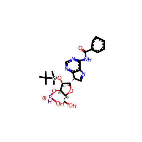 CC(C)(C)[Si](C)(C)O[C@@H]1[C@H](O[PH](=O)O)[C@@H](CO)O[C@H]1C1C=Nc2c(NC(=O)c3ccccc3)ncnc21